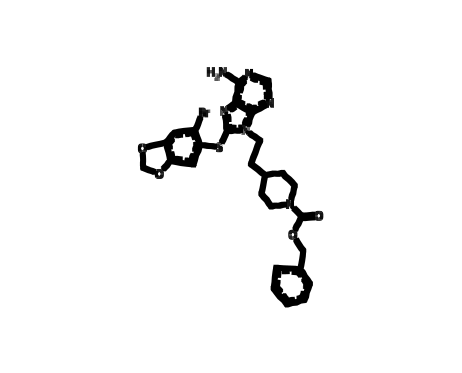 Nc1ncnc2c1nc(Sc1cc3c(cc1Br)OCO3)n2CCC1CCN(C(=O)OCc2ccccc2)CC1